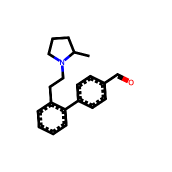 CC1CCCN1CCc1ccccc1-c1ccc(C=O)cc1